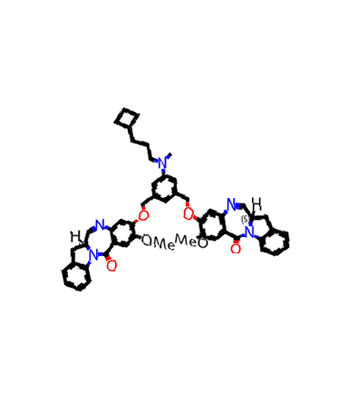 COc1cc2c(cc1OCc1cc(COc3cc4c(cc3OC)C(=O)N3c5ccccc5C[C@H]3C=N4)cc(N(C)CCCC3CCC3)c1)N=C[C@@H]1Cc3ccccc3N1C2=O